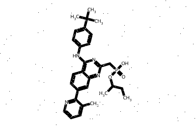 CCC(C)OP(=O)(O)Cc1nc(Nc2ccc(C(C)(C)C)cc2)c2ccc(-c3ncccc3C)cc2n1